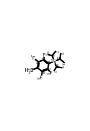 Bc1c(F)c(F)c([Si](C(C)C)(C(C)C)C(C)C)c(F)c1F